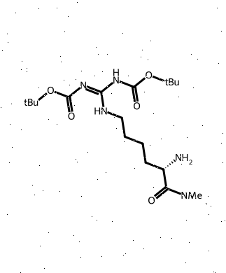 CNC(=O)[C@@H](N)CCCCN/C(=N\C(=O)OC(C)(C)C)NC(=O)OC(C)(C)C